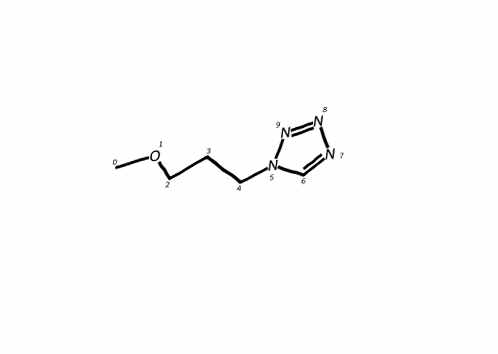 COCCCn1cnnn1